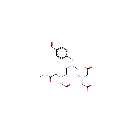 COC(=O)CN(CCN(CCN(CC(=O)O)CC(=O)O)Cc1ccc(C=O)cc1)CC(=O)O